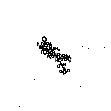 CN[C@H](C(=O)NC(C(=O)N(C)C/C=C(\C)C(=O)N[C@H](CCC(=O)NCCN1C(=O)C=CC1=O)C(=O)OC(C)(C)C)C(C)(C)C)C(C)(C)C1CCCCC1